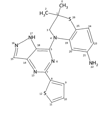 CC1(C)CN(c2nc(-c3cccs3)nc3cn[nH]c23)c2cc(N)ccc2S1